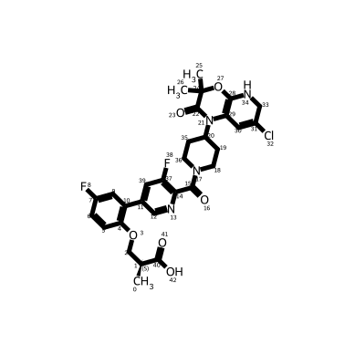 C[C@@H](COc1ccc(F)cc1-c1cnc(C(=O)N2CCC(N3C(=O)C(C)(C)OC4=C3C=C(Cl)CN4)CC2)c(F)c1)C(=O)O